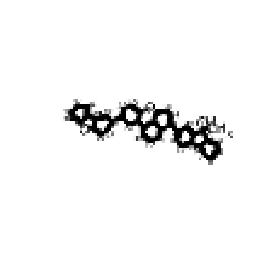 CC1(C)c2ccccc2-c2ccc(-c3ccc4c5c(cccc35)C3CC(c5ccc6oc7ccccc7c6c5)=CC=C3O4)cc21